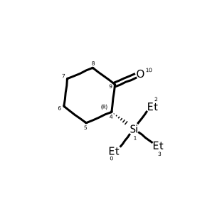 CC[Si](CC)(CC)[C@@H]1CCCCC1=O